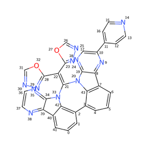 c1cc2c3cccc4c5nc(-c6ccncc6)cnc5n(c(=C(c5nnco5)c5nnco5)n5c6nccnc6c(c1)c25)c34